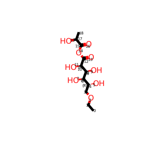 CCOC[C@@H](O)[C@@H](O)[C@H](O)[C@@H](O)C(=O)OC(=O)C(C)O